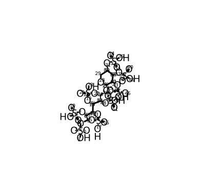 O=S(=O)(O)OC[C@@H](OS(=O)(=O)O)[C@@H](OS(=O)(=O)O)[C@H](OS(=O)(=O)O)[C@@H](CO[C@@H]1OC[C@@H](OS(=O)(=O)O)[C@H](OS(=O)(=O)O)[C@H]1OS(=O)(=O)O)OS(=O)(=O)O